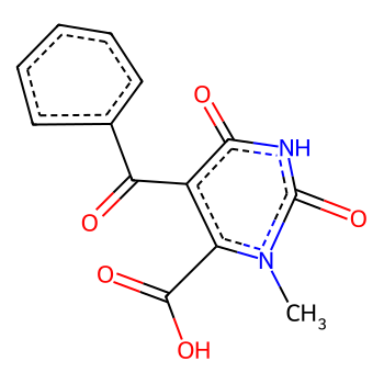 Cn1c(C(=O)O)c(C(=O)c2ccccc2)c(=O)[nH]c1=O